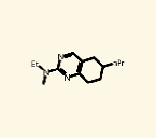 CCCC1CCc2nc(N(C)CC)ncc2C1